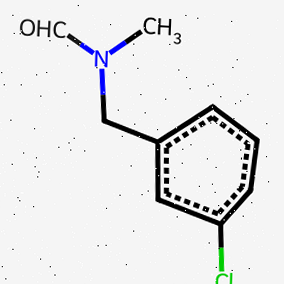 CN(C=O)Cc1cccc(Cl)c1